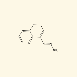 NN=Nc1cccc2cccnc12